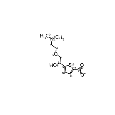 CN(C)CCOCC(O)c1ccc([N+](=O)[O-])s1